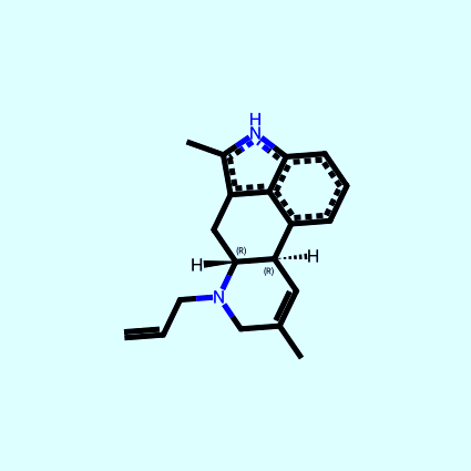 C=CCN1CC(C)=C[C@@H]2c3cccc4[nH]c(C)c(c34)C[C@H]21